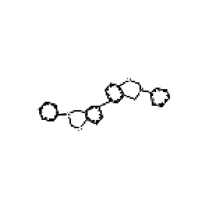 c1ccc(N2COc3ccc(-c4ccc5c(c4)CN(c4ccccc4)CO5)cc3C2)cc1